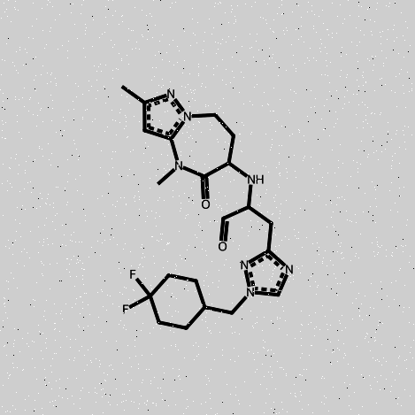 Cc1cc2n(n1)CCC(NC(C=O)Cc1ncn(CC3CCC(F)(F)CC3)n1)C(=O)N2C